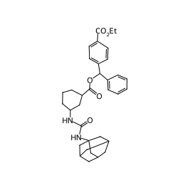 CCOC(=O)c1ccc(C(OC(=O)C2CCCC(NC(=O)NC34CC5CC(CC(C5)C3)C4)C2)c2ccccc2)cc1